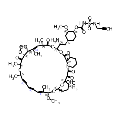 C#CCNS(=O)(=O)NC(=O)O[C@@H]1CC[C@@H](C[C@@H](N)[C@@H]2CC(=O)[C@H](C)/C=C(\C)[C@@H](O)[C@@H](OC)C(=O)[C@H](C)C[C@H](C)/C=C/C=C/C=C(\C)[C@@H](OC)C[C@@H]3CC[C@@H](C)[C@@](O)(O3)C(=O)C(=O)N3CCCC[C@H]3C(=O)O2)C[C@H]1OC